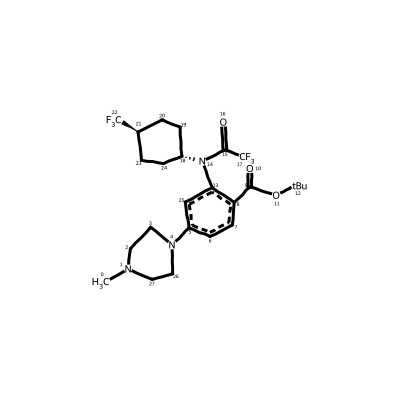 CN1CCN(c2ccc(C(=O)OC(C)(C)C)c(N(C(=O)C(F)(F)F)[C@H]3CC[C@H](C(F)(F)F)CC3)c2)CC1